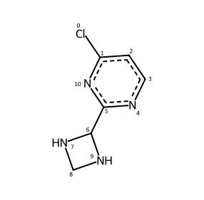 Clc1ccnc(C2NCN2)n1